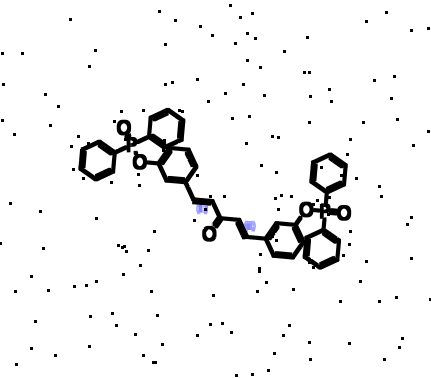 O=C(/C=C/c1cccc(OP(=O)(c2ccccc2)c2ccccc2)c1)/C=C/c1cccc(OP(=O)(c2ccccc2)c2ccccc2)c1